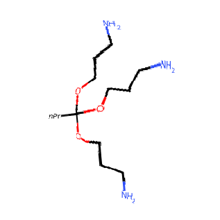 CCCC(OCCCN)(OCCCN)OCCCN